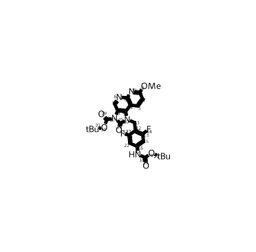 COc1ccc2c(ncc3c2n(Cc2c(F)cc(NC(=O)OC(C)(C)C)cc2F)c(=O)n3C(=O)OC(C)(C)C)n1